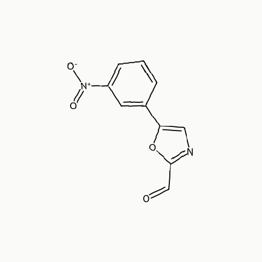 O=Cc1ncc(-c2cccc([N+](=O)[O-])c2)o1